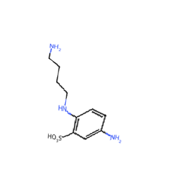 NCCCCNc1ccc(N)cc1S(=O)(=O)O